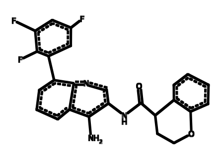 Nc1c(NC(=O)C2CCOc3ccccc32)cnc2c(-c3cc(F)cc(F)c3F)cccc12